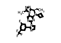 CC[C@@H]1c2nnc(C)n2-c2cnc(-n3ccnc3-c3cc(F)cc(C(F)(F)F)c3)nc2N1C1=CC=C1